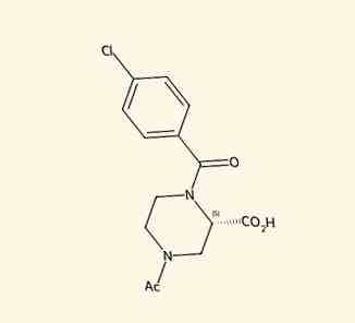 CC(=O)N1CCN(C(=O)c2ccc(Cl)cc2)[C@H](C(=O)O)C1